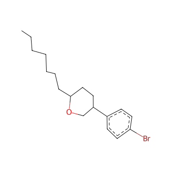 CCCCCCCC1CCC(c2ccc(Br)cc2)CO1